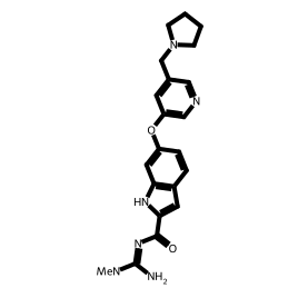 CNC(N)=NC(=O)c1cc2ccc(Oc3cncc(CN4CCCC4)c3)cc2[nH]1